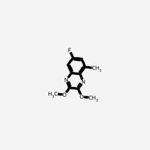 COc1nc2cc(F)cc(C)c2nc1OC